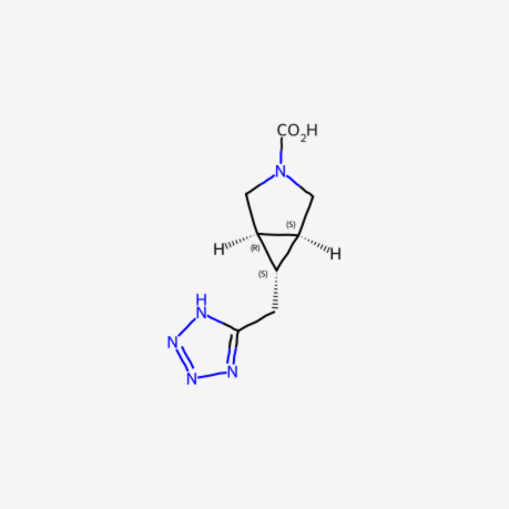 O=C(O)N1C[C@@H]2[C@@H](Cc3nnn[nH]3)[C@@H]2C1